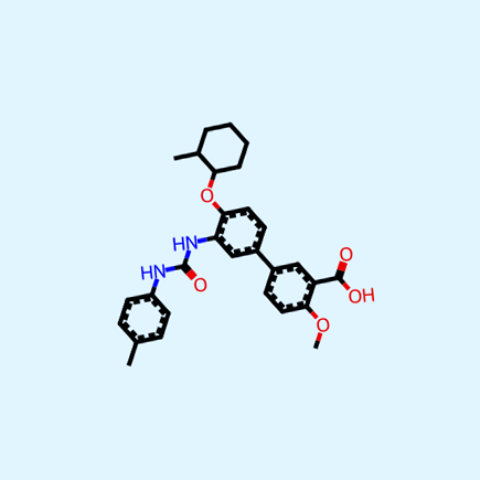 COc1ccc(-c2ccc(OC3CCCCC3C)c(NC(=O)Nc3ccc(C)cc3)c2)cc1C(=O)O